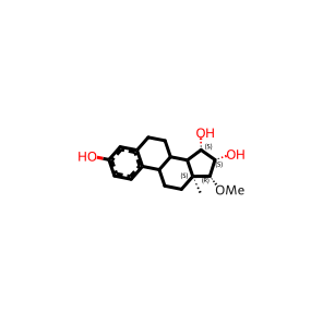 CO[C@H]1[C@@H](O)[C@@H](O)C2C3CCc4cc(O)ccc4C3CC[C@@]21C